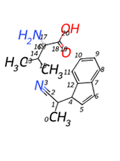 CC(C#N)C1C=Cc2ccccc21.CC(C)[C@H](N)C(=O)O